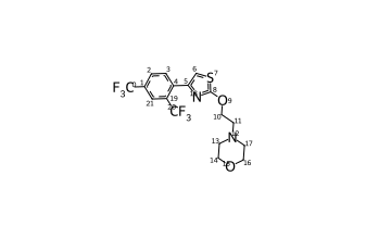 FC(F)(F)c1ccc(-c2csc(OCCN3CCOCC3)n2)c(C(F)(F)F)c1